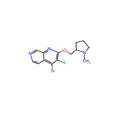 CN1CCCC1COc1nc2cnccc2c(Br)c1F